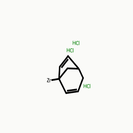 Cl.Cl.Cl.[Zr][C]12C=CCC(C=C1)C2